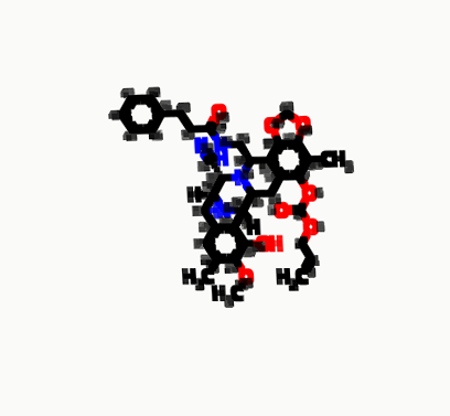 C=CCOC(=O)Oc1c(C)c2c(c3c1CC1[C@H]4N[C@@H](Cc5cc(C)c(OC)c(O)c54)[C@H](C#N)N1[C@H]3CNC(=O)CCc1ccccc1)OCO2